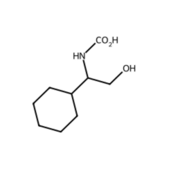 O=C(O)NC(CO)C1CCCCC1